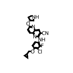 N#Cc1cc2nc(O[C@H]3CCNC3)ccc2nc1Nc1ccc(OCC2CC2)c(Cl)c1F